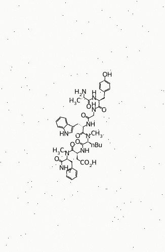 CCCC[C@@H](C(=O)N[C@@H](CC(=O)O)C(=O)N(C)[C@@H](Cc1ccccc1)C(N)=O)N(C)C(=O)[C@H](Cc1c[nH]c2ccccc12)NC(=O)CNC(=O)[C@H](Cc1ccc(O)cc1)NC(=O)[C@H](C)N